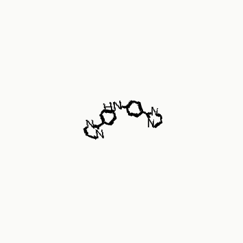 c1cnc(-c2ccc(Nc3ccc(-c4ncccn4)cc3)cc2)nc1